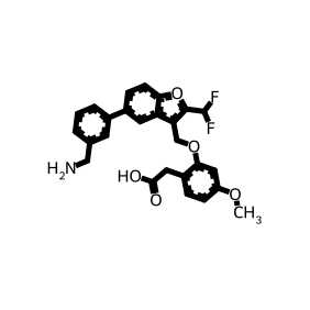 COc1ccc(CC(=O)O)c(OCc2c(C(F)F)oc3ccc(-c4cccc(CN)c4)cc23)c1